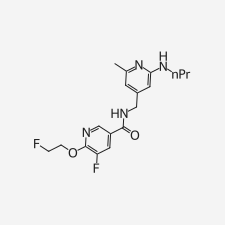 CCCNc1cc(CNC(=O)c2cnc(OCCF)c(F)c2)cc(C)n1